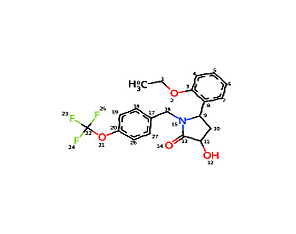 CCOc1ccccc1C1CC(O)C(=O)N1Cc1ccc(OC(F)(F)F)cc1